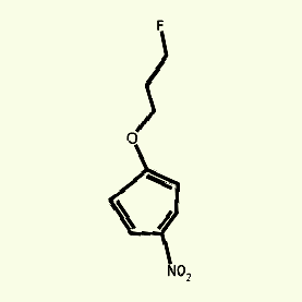 O=[N+]([O-])c1ccc(OCCCF)cc1